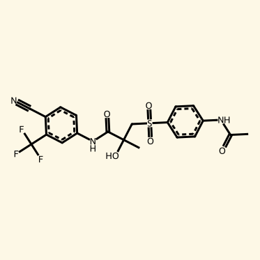 CC(=O)Nc1ccc(S(=O)(=O)CC(C)(O)C(=O)Nc2ccc(C#N)c(C(F)(F)F)c2)cc1